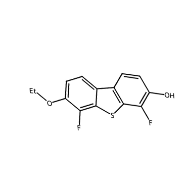 CCOc1ccc2c(sc3c(F)c(O)ccc32)c1F